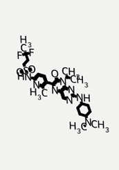 Cc1nc(NS(=O)(=O)CCC(C)(F)F)ccc1-c1nc2cnc(NC3CCC(N(C)C)CC3)nc2n(C(C)C)c1=O